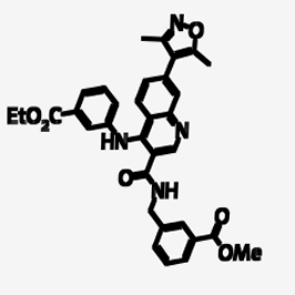 CCOC(=O)c1cccc(Nc2c(C(=O)NCc3cccc(C(=O)OC)c3)cnc3cc(-c4c(C)noc4C)ccc23)c1